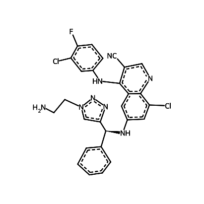 N#Cc1cnc2c(Cl)cc(N[C@@H](c3ccccc3)c3cn(CCN)nn3)cc2c1Nc1ccc(F)c(Cl)c1